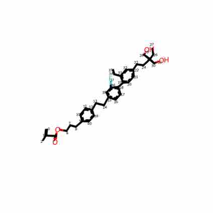 C=C(C)C(=O)OCCCc1ccc(CCc2ccc(-c3ccc(CCC(CC)(CO)CO)cc3CC)c(F)c2)cc1